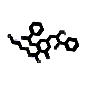 CC/C(=N/OC/C=C/Cl)C1=C(OC(=O)c2ccccc2)CC(CC(C)[S+]([O-])c2ccccc2)CC1=O